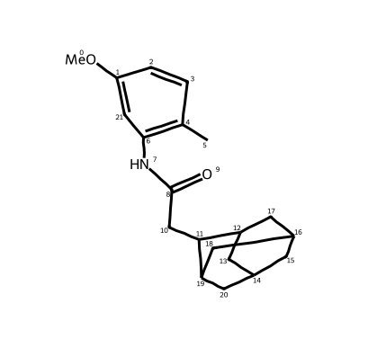 COc1ccc(C)c(NC(=O)CC2C3CC4CC(C3)CC2C4)c1